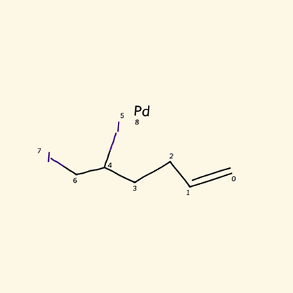 C=CCCC(I)CI.[Pd]